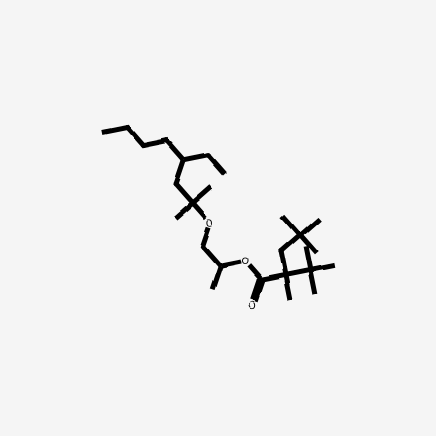 CCCCC(CC)CC(C)(C)OCC(C)OC(=O)C(C)(CC(C)(C)C)C(C)(C)C